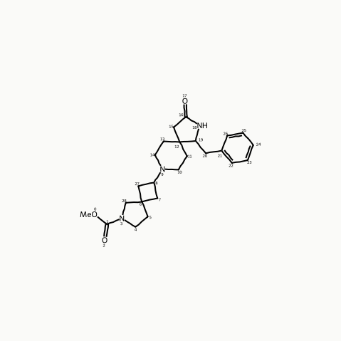 COC(=O)N1CCC2(CC(N3CCC4(CC3)CC(=O)NC4Cc3ccccc3)C2)C1